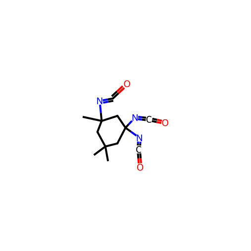 CC1(C)CC(C)(N=C=O)CC(N=C=O)(N=C=O)C1